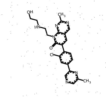 Cc1cncc(-c2ccc(-c3cc4cnc(C)nc4n(CCNCCO)c3=O)c(Cl)c2)n1